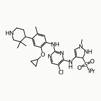 Cc1cc(Nc2ncc(Cl)c(NC3=CN(C)NC3S(=O)(=O)C(C)C)n2)c(OC2CC2)cc1C1CCNCC1(C)C